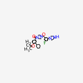 CC[C@@H](C)Oc1ccc(C(=O)N2CCN(C(=O)c3cc(F)cc(N4CCNCC4)c3)CC2)cc1C1CCCCC1